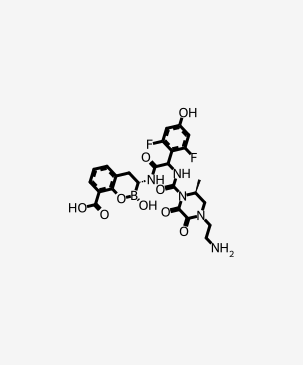 C[C@H]1CN(CCN)C(=O)C(=O)N1C(=O)NC(C(=O)N[C@H]1Cc2cccc(C(=O)O)c2OB1O)c1c(F)cc(O)cc1F